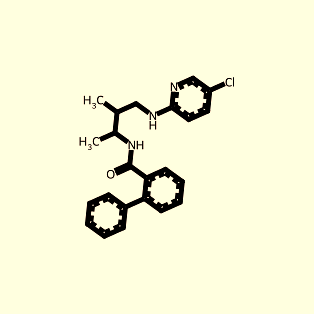 CC(CNc1ccc(Cl)cn1)C(C)NC(=O)c1ccccc1-c1ccccc1